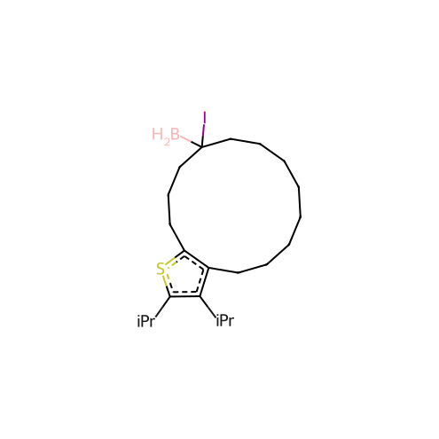 BC1(I)CCCCCCCCc2c(sc(C(C)C)c2C(C)C)CCC1